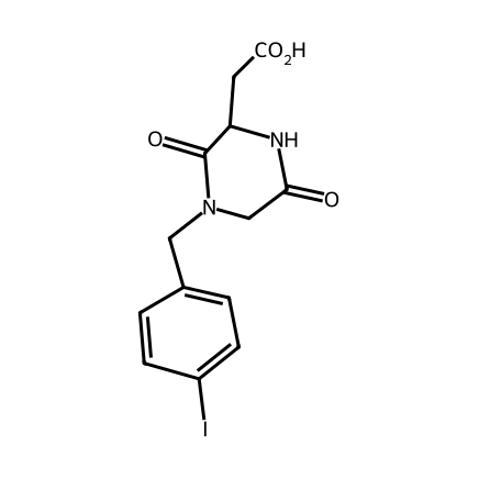 O=C(O)CC1NC(=O)CN(Cc2ccc(I)cc2)C1=O